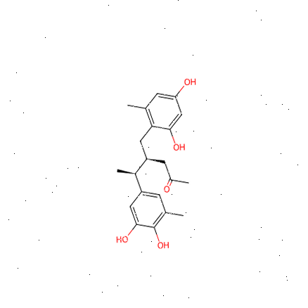 CC(=O)C[C@H](Cc1c(C)cc(O)cc1O)[C@H](C)c1cc(C)c(O)c(O)c1